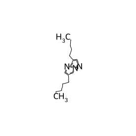 CCCCCc1cnc2c(CCCCC)cnn2c1